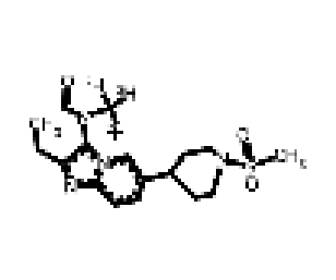 [2H]C([2H])([2H])N(C=O)c1c(CC)nc2ccc(C3CCN(S(C)(=O)=O)CC3)cn12